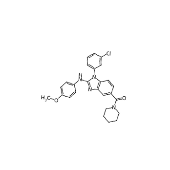 COc1ccc(Nc2nc3cc(C(=O)N4CCCCC4)ccc3n2-c2cccc(Cl)c2)cc1